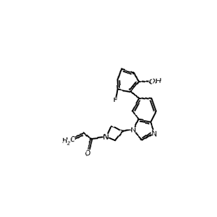 C=CC(=O)N1CC(n2cnc3ccc(-c4c(O)cccc4F)cc32)C1